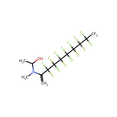 C=C(N(C)C(C)O)C(F)(F)C(F)(F)C(F)(F)C(F)(F)C(F)(F)C(F)(F)C(F)(F)C(F)(F)F